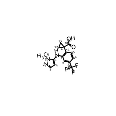 Cn1nccc1Nc1cc(C(F)(F)F)ccc1C1(C(=O)O)CC1